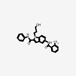 O=C(Nc1ccc2c(c1)cc(C(=O)Nc1ccccc1)n2CCCO)c1ccccc1C(F)(F)F